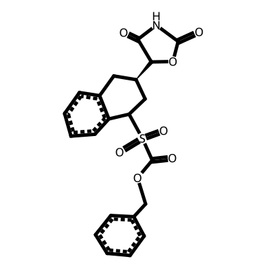 O=C1NC(=O)C([C@@H]2Cc3ccccc3C(S(=O)(=O)C(=O)OCc3ccccc3)C2)O1